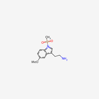 COc1ccc2c(c1)c(CCN)cn2S(C)(=O)=O